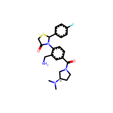 CN(C)[C@@H]1CCN(C(=O)c2ccc(N3C(=O)CSC3c3ccc(F)cc3)c(CN)c2)C1